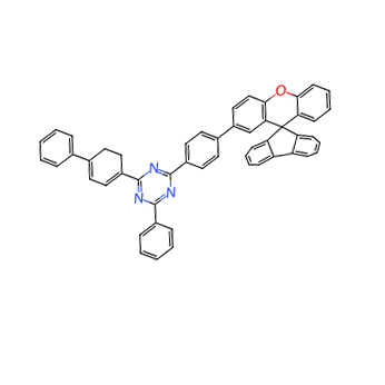 C1=C(c2ccccc2)CCC(c2nc(-c3ccccc3)nc(-c3ccc(-c4ccc5c(c4)C4(c6ccccc6O5)c5ccccc5-c5ccccc54)cc3)n2)=C1